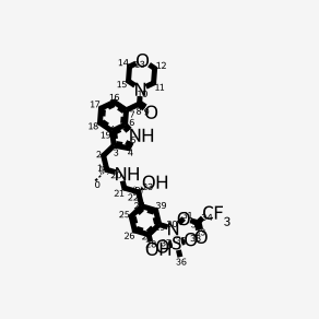 C[C@H](Cc1c[nH]c2c(C(=O)N3CCOCC3)cccc12)NC[C@H](O)c1ccc(O)c(N(OC(=O)C(F)(F)F)S(C)(=O)=O)c1